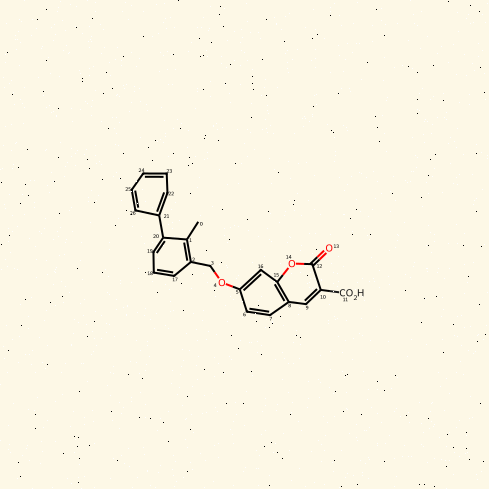 Cc1c(COc2ccc3cc(C(=O)O)c(=O)oc3c2)cccc1-c1ccccc1